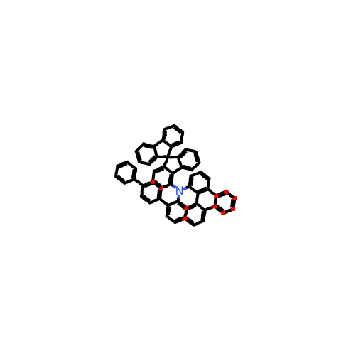 c1ccc(-c2ccc(-c3ccccc3N(c3cccc(-c4ccccc4)c3-c3ccccc3-c3ccccc3)c3cccc4c3-c3ccccc3C43c4ccccc4-c4ccccc43)cc2)cc1